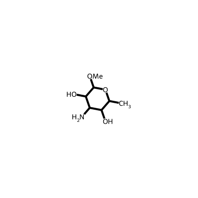 COC1OC(C)C(O)C(N)C1O